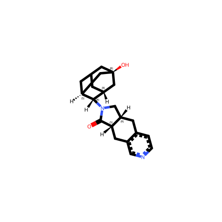 O=C1[C@H]2Cc3cnccc3C[C@H]2CN1[C@H]1[C@@H]2CC3C[C@H]1C[C@](O)(C3)C2